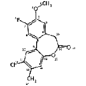 COc1cc2c(cc1F)-c1cc(Cl)c(C)cc1OC(=O)C2